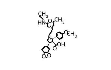 CCCNC(=O)CN(CCC)CCN1C[C@H](c2ccc3c(c2)OCO3)[C@H](C(=O)O)[C@H]1c1ccc(OC)cc1